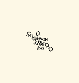 CC[C@H](C)[C@@H](C(=O)N[C@@H](Cc1ccccc1)[C@H](O)CN(Cc1ccc(-c2ccccn2)cc1)NC(=O)N1CCCC1=O)N1CCN(Cc2cccc(C)n2)C1=O